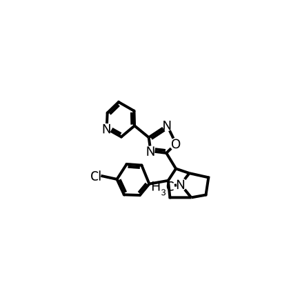 CN1C2CCC1C(c1nc(-c3cccnc3)no1)C(c1ccc(Cl)cc1)C2